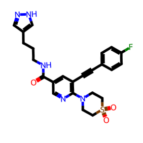 O=C(NCCCc1cn[nH]c1)c1cnc(N2CCS(=O)(=O)CC2)c(C#Cc2ccc(F)cc2)c1